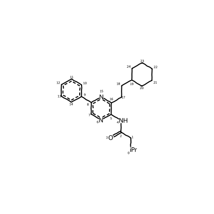 CC(C)CC(=O)Nc1ncc(-c2ccccc2)nc1CCC1CCCCC1